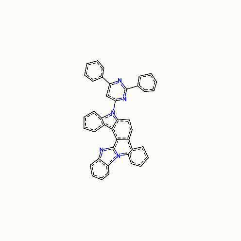 c1ccc(-c2cc(-n3c4ccccc4c4c5c(ccc43)c3ccccc3n3c4ccccc4nc53)nc(-c3ccccc3)n2)cc1